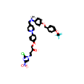 CN(CC1CCN(c2ccc(OCC(O)CCn3cc([N+](=O)[O-])nc3Cl)cc2)CC1)c1ccc(OCc2ccc(OC(F)(F)F)cc2)cc1